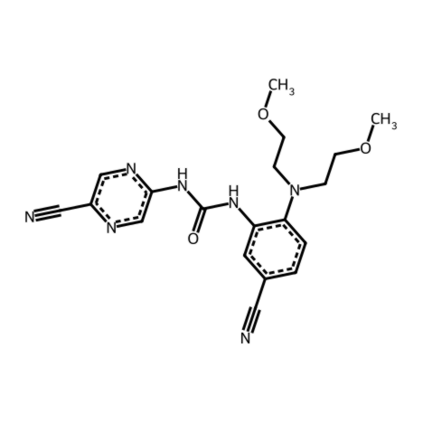 COCCN(CCOC)c1ccc(C#N)cc1NC(=O)Nc1cnc(C#N)cn1